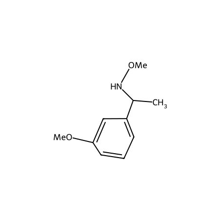 CONC(C)c1cccc(OC)c1